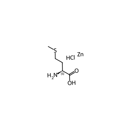 CSCC[C@H](N)C(=O)O.Cl.[Zn]